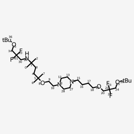 CC(C)(CCC(C)(C)OCCN1CCN(CCCCOCC(F)(F)COC(C)(C)C)CC1)NCC(F)(F)COC(C)(C)C